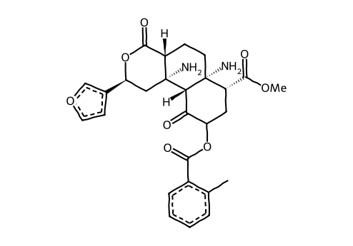 COC(=O)[C@@H]1CC(OC(=O)c2ccccc2C)C(=O)[C@H]2[C@@]1(N)CC[C@H]1C(=O)O[C@H](c3ccoc3)C[C@]21N